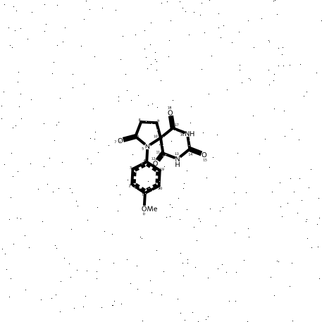 COc1ccc(N2C(=O)CCC23C(=O)NC(=O)NC3=O)cc1